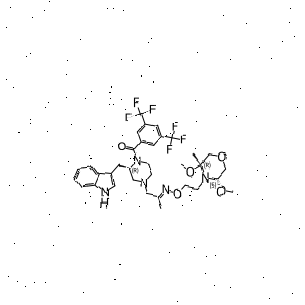 CO[C@H]1COC[C@@](C)(OC)N1CCON=C(C)CN1CCN(C(=O)c2cc(C(F)(F)F)cc(C(F)(F)F)c2)[C@H](Cc2c[nH]c3ccccc23)C1